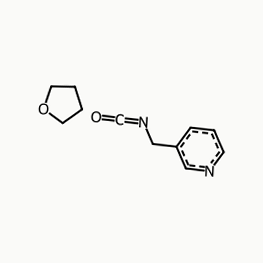 C1CCOC1.O=C=NCc1cccnc1